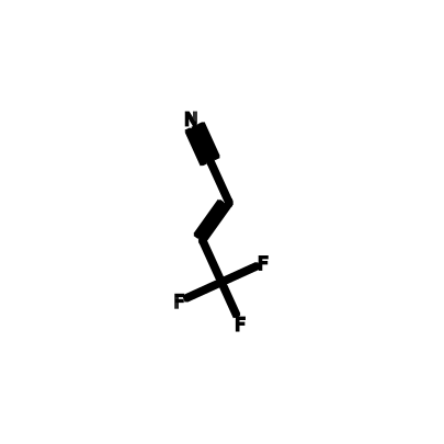 N#C/C=C/C(F)(F)F